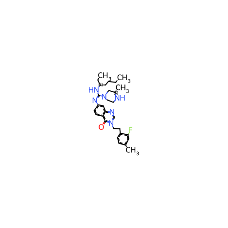 CCCC[C@H](CC)NC(=Nc1ccc2c(=O)n(CCc3ccc(C)cc3F)cnc2c1)N1CCN[C@@H](C)C1